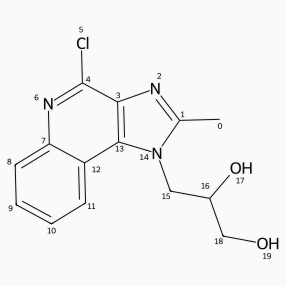 Cc1nc2c(Cl)nc3ccccc3c2n1CC(O)CO